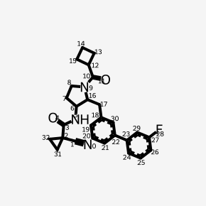 N#CC1(C(=O)NC2CCN(C(=O)C3CCC3)C2Cc2cccc(-c3cccc(F)c3)c2)CC1